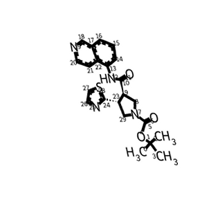 CC(C)(C)OC(=O)N1C[C@H](C(=O)Nc2cccc3cnccc23)[C@@H](c2nccs2)C1